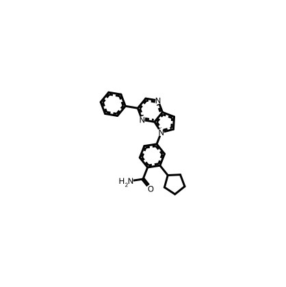 NC(=O)c1ccc(-n2ccc3ncc(-c4ccccc4)nc32)cc1C1CCCC1